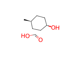 C[C@H]1CC[C@@H](O)CC1.O=CO